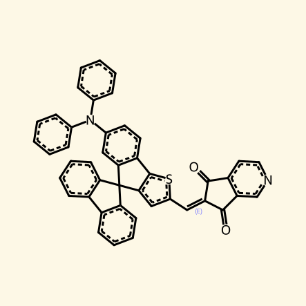 O=C1/C(=C\c2cc3c(s2)-c2ccc(N(c4ccccc4)c4ccccc4)cc2C32c3ccccc3-c3ccccc32)C(=O)c2cnccc21